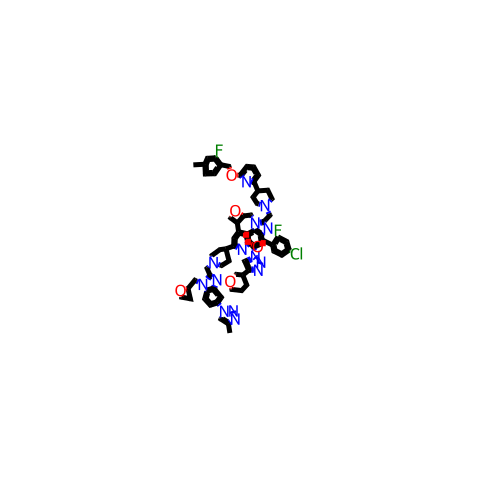 Cc1ccc(COc2cccc(C3CCN(Cc4nc5cc(-n6cc(C7CCCOC7)nn6)ccc5n4CC4OCC4c4cc(OCc5ccc(Cl)cc5F)nc(C5CCN(Cc6nc7cc(-n8cc(C)nn8)ccc7n6CC6CCO6)CC5)c4)CC3)n2)c(F)c1